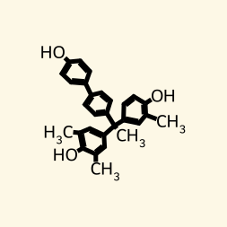 Cc1cc(C(C)(c2ccc(-c3ccc(O)cc3)cc2)c2cc(C)c(O)c(C)c2)ccc1O